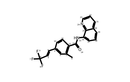 Cc1cc(/C=C/C(F)(F)F)ccc1C(=O)Nc1cccc2cccnc12